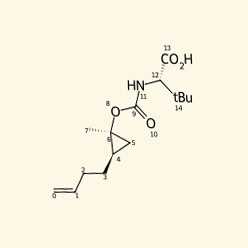 C=CCC[C@@H]1C[C@]1(C)OC(=O)N[C@H](C(=O)O)C(C)(C)C